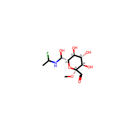 CO[C@]1(C=O)O[C@H](C(O)NC(C)F)[C@@H](O)[C@H](O)[C@H]1O